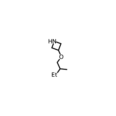 CCC(C)COC1CNC1